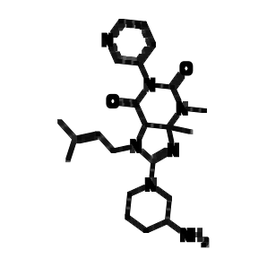 CC(C)=CCN1C(N2CCCC(N)C2)=NC2(C)C1C(=O)N(c1cccnc1)C(=O)N2C